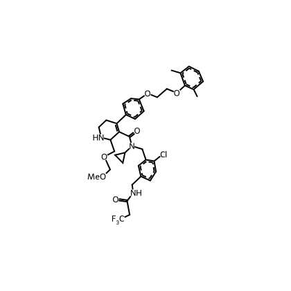 COCOCC1NCCC(c2ccc(OCCOc3c(C)cccc3C)cc2)=C1C(=O)N(Cc1cc(CNC(=O)CC(F)(F)F)ccc1Cl)C1CC1